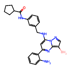 Bc1cnn2c(NCc3cccc(NC(=O)C4CCCC4)c3)cc(-c3ccccc3N)nc12